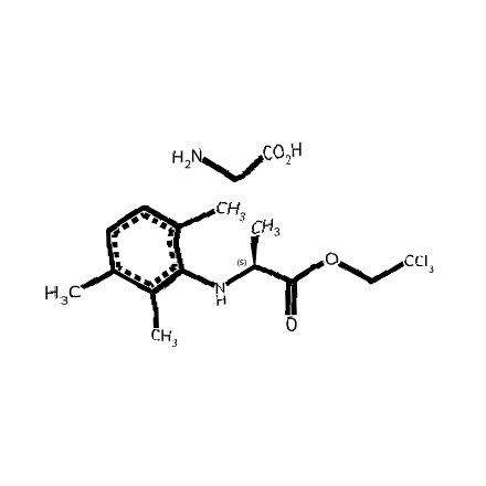 Cc1ccc(C)c(N[C@@H](C)C(=O)OCC(Cl)(Cl)Cl)c1C.NCC(=O)O